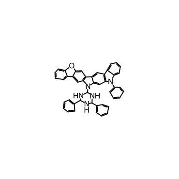 c1ccc(C2NC(c3ccccc3)NC(n3c4cc5c(cc4c4cc6c7ccccc7n(-c7ccccc7)c6cc43)oc3ccccc35)N2)cc1